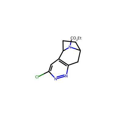 CCOC(=O)N1C2CCC1c1cc(Cl)nnc1C2